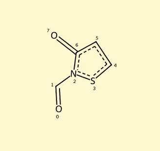 O=Cn1sccc1=O